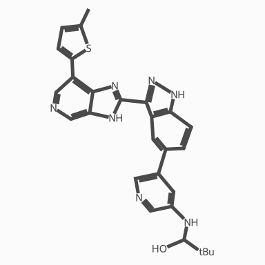 Cc1ccc(-c2cncc3[nH]c(-c4n[nH]c5ccc(-c6cncc(NC(O)C(C)(C)C)c6)cc45)nc23)s1